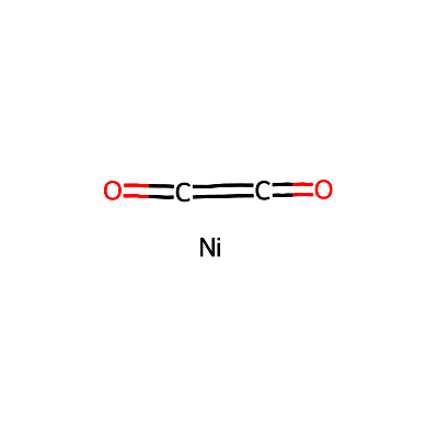 O=C=C=O.[Ni]